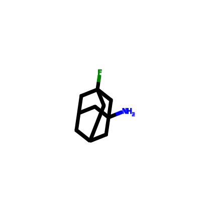 NC12CC3CC(C1)CC(F)(C3)C2